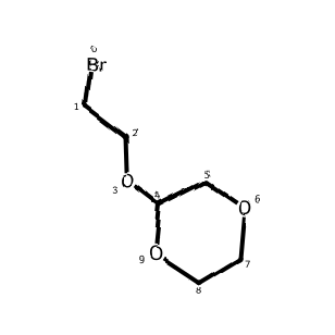 BrCCOC1COCCO1